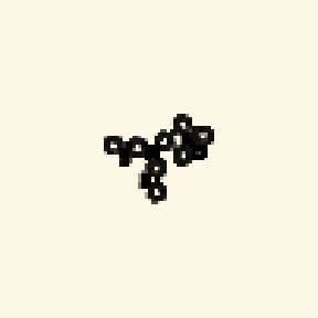 c1ccc2c(c1)Oc1cccc3c4cccc(-c5ccc(N(c6ccc7c(c6)sc6ccccc67)c6ccc7c(c6)sc6ccccc67)cc5)c4n-2c13